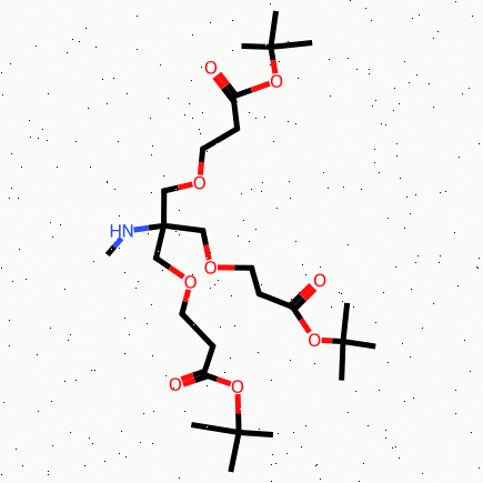 CNC(COCCC(=O)OC(C)(C)C)(COCCC(=O)OC(C)(C)C)COCCC(=O)OC(C)(C)C